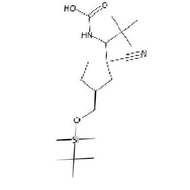 CC(C)(C)C(NC(=O)O)C1(C#N)CCC(CO[Si](C)(C)C(C)(C)C)C1